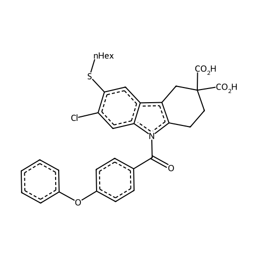 CCCCCCSc1cc2c3c(n(C(=O)c4ccc(Oc5ccccc5)cc4)c2cc1Cl)CCC(C(=O)O)(C(=O)O)C3